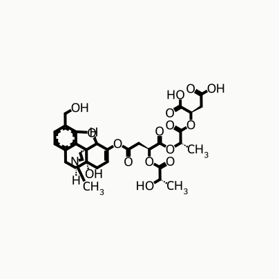 C[C@H](O)C(=O)O[C@@H](CC(=O)OC1=CC[C@@]2(O)[C@H]3Cc4ccc(CO)c5c4[C@@]2(CCN3C)[C@H]1O5)C(=O)O[C@@H](C)C(=O)O[C@H](CC(=O)O)C(=O)O